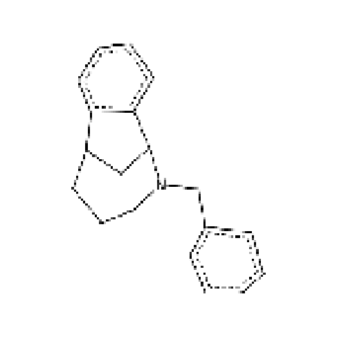 c1ccc(CN2CCCC3CC2c2ccccc23)cc1